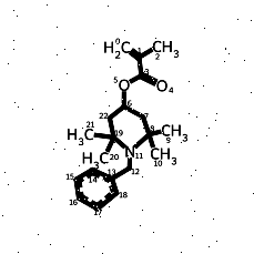 C=C(C)C(=O)OC1CC(C)(C)N(Cc2ccccc2)C(C)(C)C1